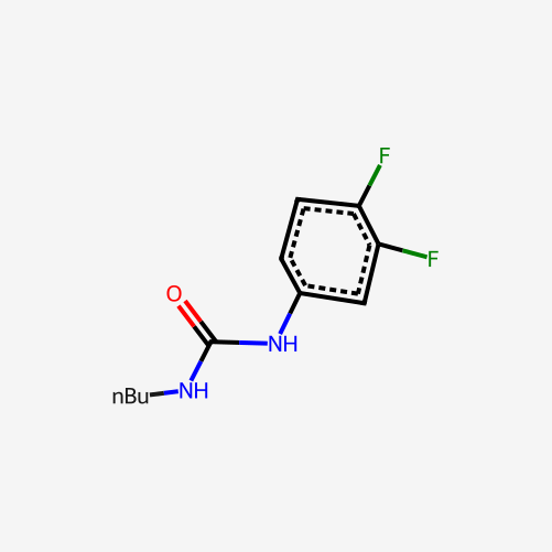 CCCCNC(=O)Nc1ccc(F)c(F)c1